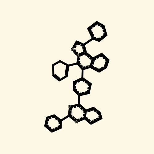 C1=CCCC(c2c(-c3ccc(-c4nc(-c5ccccc5)nc5ccccc45)cc3)c3ccccc3c3c(-c4ccccc4)cnn23)=C1